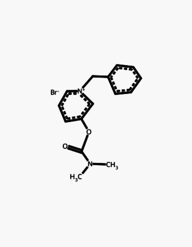 CN(C)C(=O)Oc1ccc[n+](Cc2ccccc2)c1.[Br-]